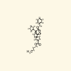 CCCCOC(=O)N1CC[C@]2(CCN([C@H](C(=O)OCc3ccccc3)C3CCCC3)C2=O)C1